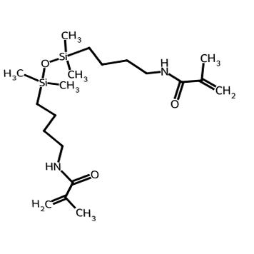 C=C(C)C(=O)NCCCC[Si](C)(C)O[Si](C)(C)CCCCNC(=O)C(=C)C